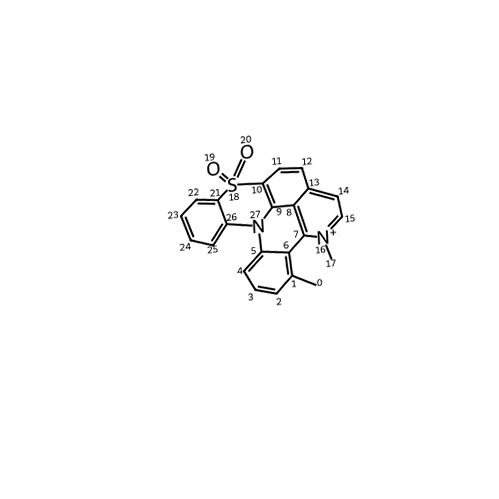 Cc1cccc2c1-c1c3c4c(ccc3cc[n+]1C)S(=O)(=O)c1ccccc1N24